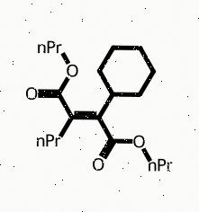 CCCOC(=O)C(CCC)=C(C(=O)OCCC)C1CCCCC1